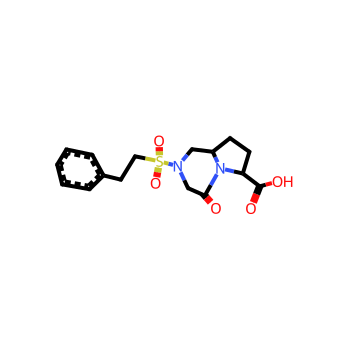 O=C(O)C1CCC2CN(S(=O)(=O)CCc3ccccc3)CC(=O)N21